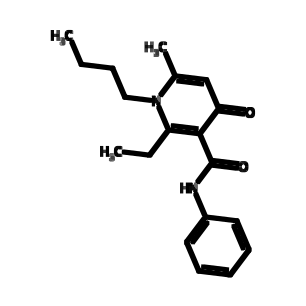 CCCCn1c(C)cc(=O)c(C(=O)Nc2ccccc2)c1CC